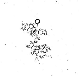 CC(C)C[C@@H](C(=O)N(C)[C@@H](Cc1ccccc1)C(=O)N(C)[C@H](C(N)=O)C(C)C)N(C)C(=O)CNC(=O)C(NC(=O)[C@H](CC(C)C)N(C)[C@@H](NC(=O)C(C)C)C(C)C)[C@@H](C)O